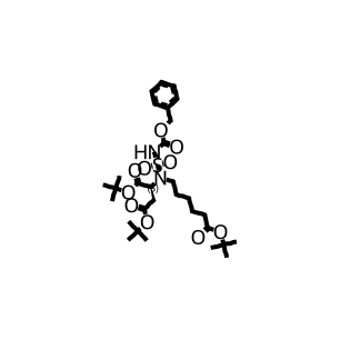 CC(C)(C)OC(=O)CCCCCN([C@@H](CC(=O)OC(C)(C)C)C(=O)OC(C)(C)C)S(=O)(=O)NC(=O)OCc1ccccc1